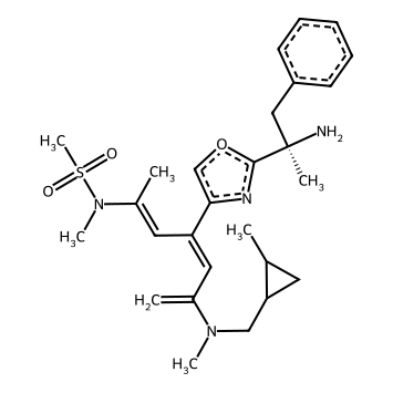 C=C(/C=C(\C=C(/C)N(C)S(C)(=O)=O)c1coc([C@](C)(N)Cc2ccccc2)n1)N(C)CC1CC1C